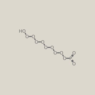 O=P(=O)OOOOOOOOOO